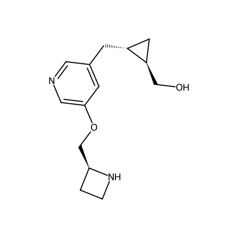 OC[C@@H]1C[C@H]1Cc1cncc(OC[C@@H]2CCN2)c1